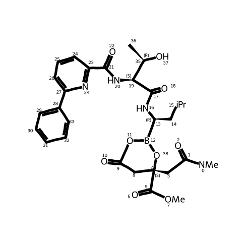 CNC(=O)C[C@@]1(C(=O)OC)CC(=O)OB([C@H](CC(C)C)NC(=O)[C@@H](NC(=O)c2cccc(-c3ccccc3)n2)[C@@H](C)O)O1